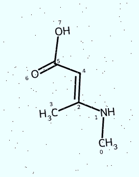 CN/C(C)=C/C(=O)O